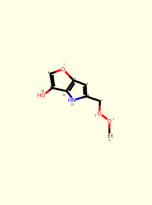 CCOOCc1cc2occ(O)c2[nH]1